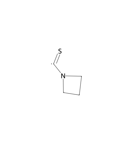 S=[C]N1CCC1